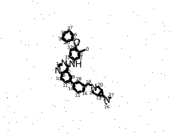 Cc1cc(Nc2ncnc3ccc(-c4cccc(CN5CC6C(C5)C6N(C)C)c4)cc23)ccc1Oc1ccccc1